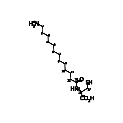 NCCCCCCCCCCCCC(=O)NC(CS)C(=O)O